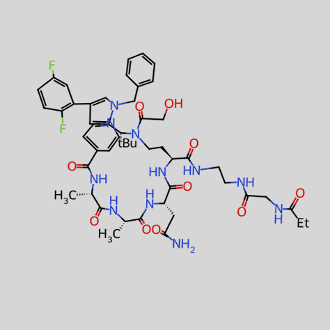 CCC(=O)NCC(=O)NCCNC(=O)[C@H](CCN(C(=O)CO)[C@@H](c1cc(-c2cc(F)ccc2F)cn1Cc1ccccc1)C(C)(C)C)NC(=O)[C@H](CC(N)=O)NC(=O)[C@H](C)NC(=O)[C@H](C)NC(=O)c1ccncc1